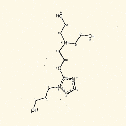 OCCCn1ccnc1OCCN(CCO)CCO